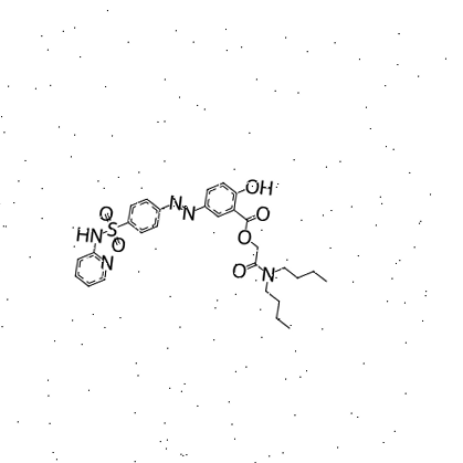 CCCCN(CCCC)C(=O)COC(=O)c1cc(N=Nc2ccc(S(=O)(=O)Nc3ccccn3)cc2)ccc1O